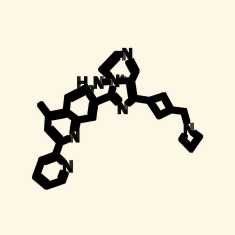 Cc1cc(-c2ccccn2)nc2cc(C3=NC(C4CC(CN5CCC5)C4)=C4C=NC=C[N+]34N)ccc12